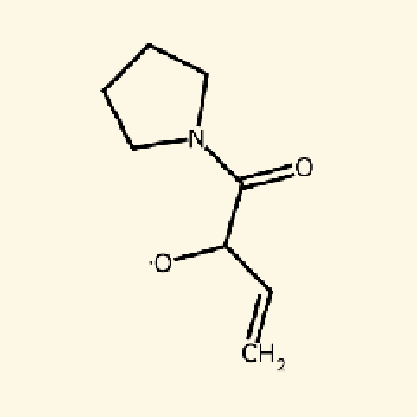 C=CC([O])C(=O)N1CCCC1